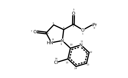 CC(C)OC(=O)C1CC(=O)NN1c1ncccc1Cl